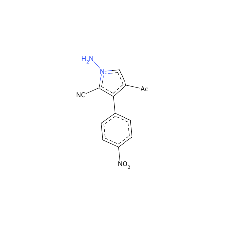 CC(=O)c1cn(N)c(C#N)c1-c1ccc([N+](=O)[O-])cc1